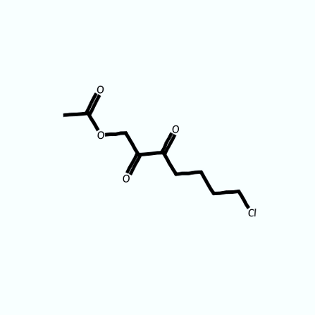 CC(=O)OCC(=O)C(=O)CCCCCl